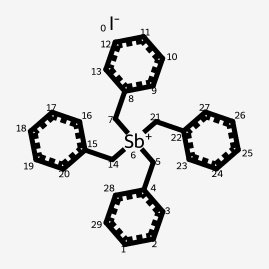 [I-].c1ccc([CH2][Sb+]([CH2]c2ccccc2)([CH2]c2ccccc2)[CH2]c2ccccc2)cc1